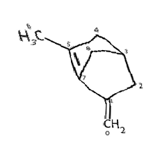 C=C1CC2CC(C)=C1C2